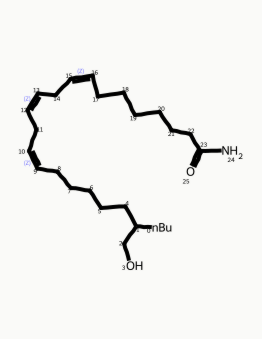 CCCCC(CO)CCCCC/C=C\C/C=C\C/C=C\CCCCCCC(N)=O